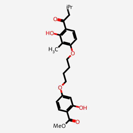 COC(=O)c1ccc(OCCCCOc2ccc(C(=O)CC(C)C)c(O)c2C)cc1O